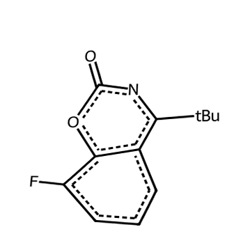 CC(C)(C)c1nc(=O)oc2c(F)cccc12